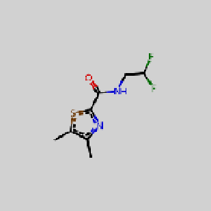 Cc1nc(C(=O)NCC(F)F)sc1C